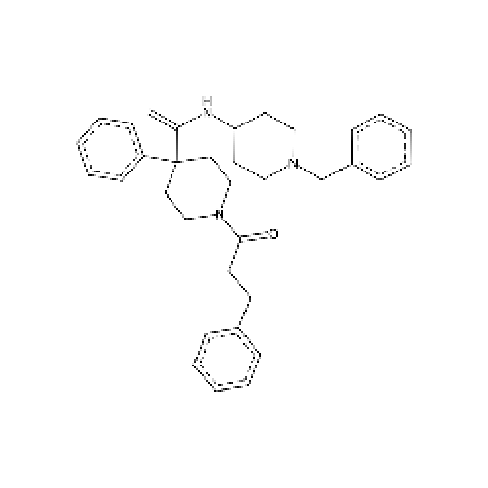 C=C(NC1CCN(Cc2ccccc2)CC1)C1(c2ccccc2)CCN(C(=O)CCc2ccccc2)CC1